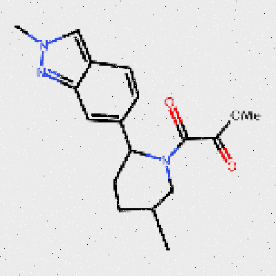 COC(=O)C(=O)N1CC(C)CCC1c1ccc2cn(C)nc2c1